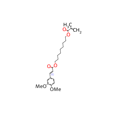 C=C(C)C(=O)OCCCCCCCCCOC(=O)/C=C/c1ccc(OC)c(OC)c1